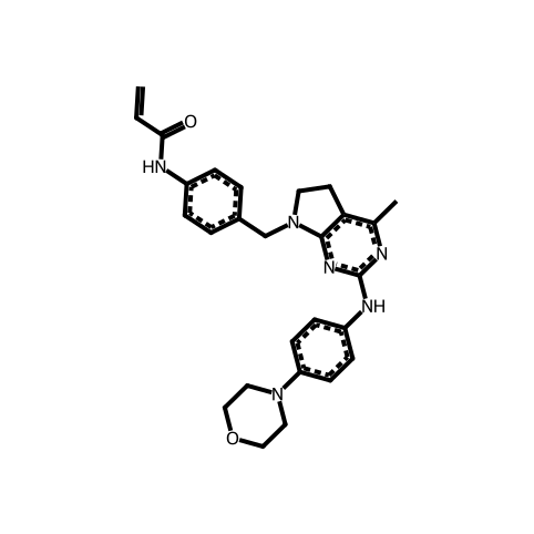 C=CC(=O)Nc1ccc(CN2CCc3c(C)nc(Nc4ccc(N5CCOCC5)cc4)nc32)cc1